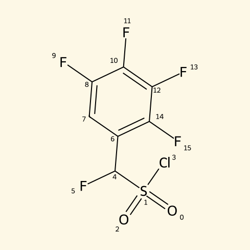 O=S(=O)(Cl)C(F)c1cc(F)c(F)c(F)c1F